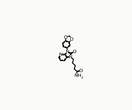 NC(=O)CCCCn1c(=O)n(-c2ccc3c(c2)OCO3)c2ncccc21